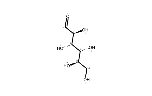 O=[C][C@@H](O)[C@@H](O)[C@H](O)[C@H](O)CO